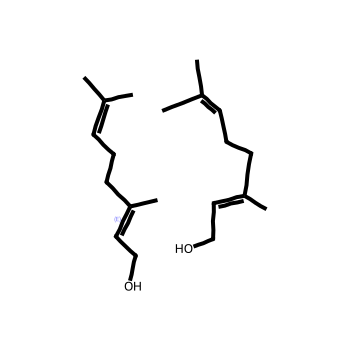 CC(C)=CCC/C(C)=C/CO.CC(C)=CCCC(C)=CCO